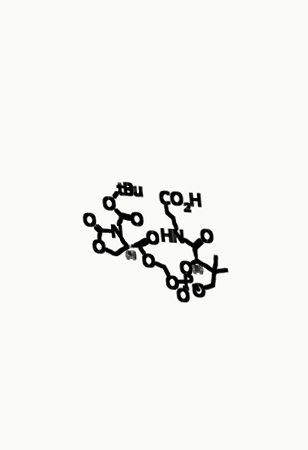 CC(C)(C)OC(=O)N1C(=O)OC[C@H]1C(=O)OCOP1(=O)OCC(C)(C)[C@H](C(=O)NCCC(=O)O)O1